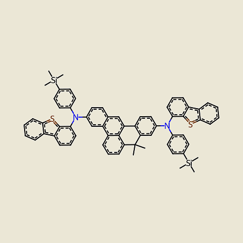 CC1(C)c2cc(N(c3ccc([Si](C)(C)C)cc3)c3cccc4c3sc3ccccc34)ccc2-c2cc3ccc(N(c4ccc([Si](C)(C)C)cc4)c4cccc5c4sc4ccccc45)cc3c3cccc1c23